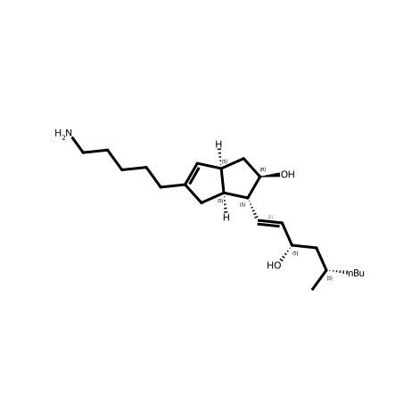 CCCC[C@H](C)C[C@H](O)/C=C/[C@@H]1[C@H]2CC(CCCCCN)=C[C@H]2C[C@H]1O